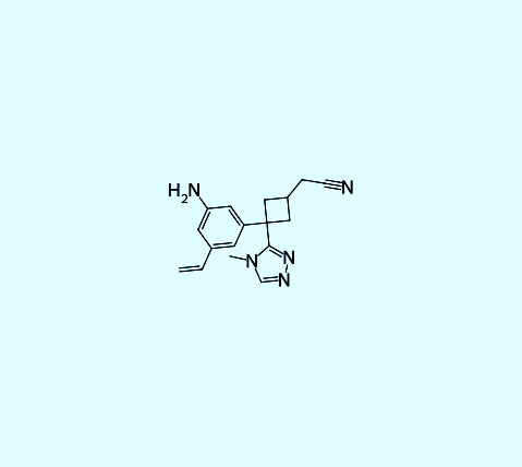 C=Cc1cc(N)cc(C2(c3nncn3C)CC(CC#N)C2)c1